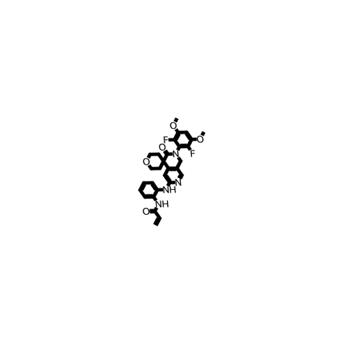 C=CC(=O)Nc1ccccc1Nc1cc2c(cn1)CN(c1c(F)c(OC)cc(OC)c1F)C(=O)C21CCOCC1